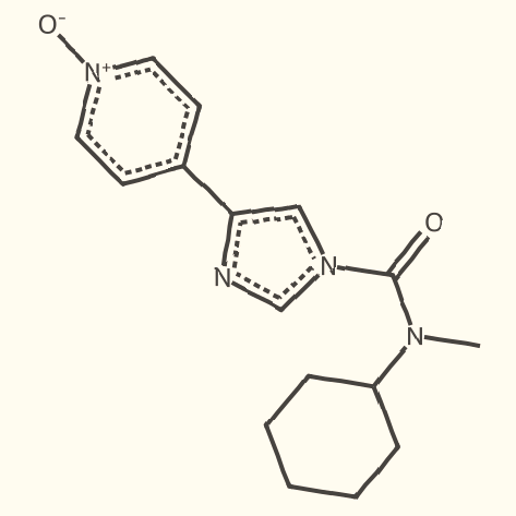 CN(C(=O)n1cnc(-c2cc[n+]([O-])cc2)c1)C1CCCCC1